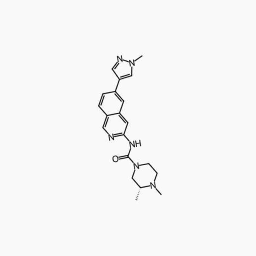 C[C@@H]1CN(C(=O)Nc2cc3cc(-c4cnn(C)c4)ccc3cn2)CCN1C